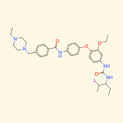 CCOc1cc(NC(=O)NC(CC)C(C)I)ccc1Oc1ccc(NC(=O)c2ccc(CN3CCN(CC)CC3)cc2)cc1